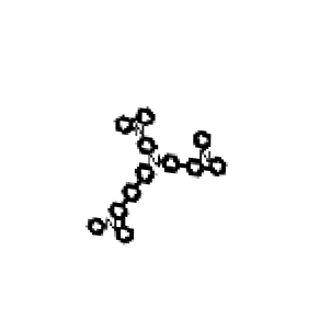 c1ccc(-n2c3ccccc3c3cc(-c4ccc(-c5ccc(N(c6ccc(-c7ccc8c9ccccc9n(-c9ccccc9)c8c7)cc6)c6ccc(-n7c8ccccc8c8ccccc87)cc6)cc5)cc4)ccc32)cc1